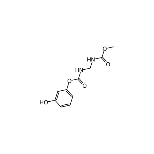 COC(=O)NCNC(=O)Oc1cccc(O)c1